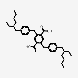 CCCCC(CC)Cc1ccc(Cc2cc(C(=O)O)c(Cc3ccc(CC(CC)CCCC)cc3)cc2C(=O)O)cc1